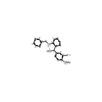 COc1ccc(C(O)c2ccccc2OCc2ccccc2)cc1F